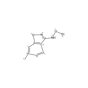 CCONc1noc2cc(C)ccc12